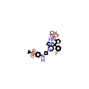 COC(=O)N[C@H]1CCC[C@@H]1[C@](CN1CCC1)(c1cccc(F)c1)C1CCN(C2CC(Nc3ccc(S(=O)(=O)C4CC4)cc3)C2)CC1